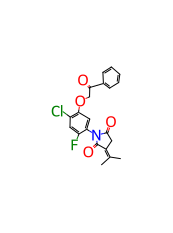 CC(C)=C1CC(=O)N(c2cc(OCC(=O)c3ccccc3)c(Cl)cc2F)C1=O